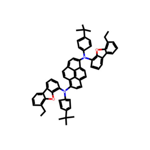 CCc1cccc2c1oc1c(N(c3ccc(C(C)(C)C)cc3)c3ccc4ccc5c(N(c6ccc(C(C)(C)C)cc6)c6cccc7c6oc6c(CC)cccc67)ccc6ccc3c4c65)cccc12